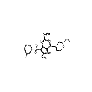 CSc1nc(N2CCOC(C)C2)c2[nH]c(N)c(S(=O)(=O)c3cccc(F)c3)c2n1